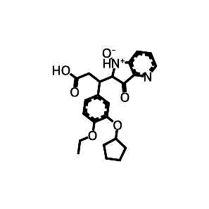 CCOc1ccc(C(CC(=O)O)C2C(=O)c3ncccc3[NH+]2[O-])cc1OC1CCCC1